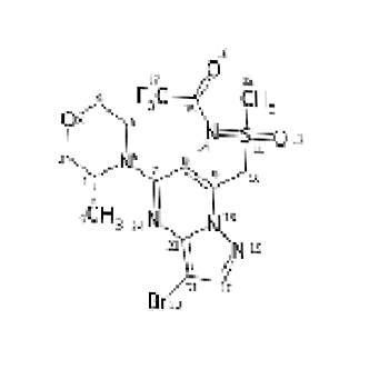 C[C@@H]1COCCN1c1cc(CS(C)(=O)=NC(=O)C(F)(F)F)n2ncc(Br)c2n1